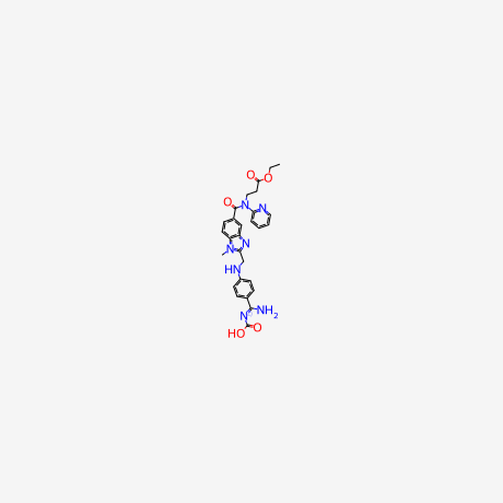 CCOC(=O)CCN(C(=O)c1ccc2c(c1)nc(CNc1ccc(/C(N)=N/C(=O)O)cc1)n2C)c1ccccn1